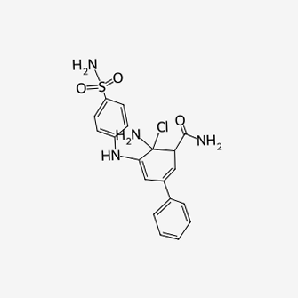 NC(=O)C1C=C(c2ccccc2)C=C(Nc2ccc(S(N)(=O)=O)cc2)C1(N)Cl